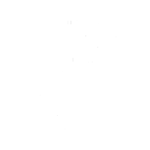 CC1(C)OB(c2ccc3c(c2)C2(CC2)CO3)OC1(C)C